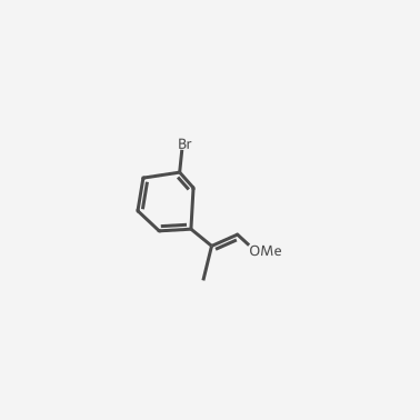 COC=C(C)c1cccc(Br)c1